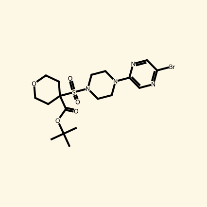 CC(C)(C)OC(=O)C1(S(=O)(=O)N2CCN(c3cnc(Br)cn3)CC2)CCOCC1